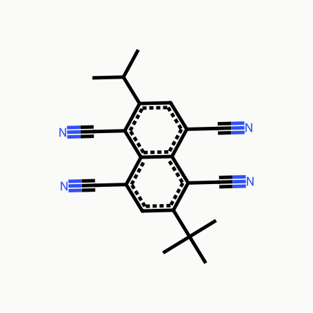 CC(C)c1cc(C#N)c2c(C#N)c(C(C)(C)C)cc(C#N)c2c1C#N